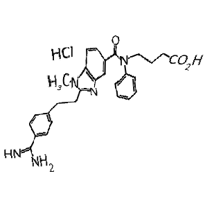 Cl.Cn1c(CCc2ccc(C(=N)N)cc2)nc2cc(C(=O)N(CCCC(=O)O)c3ccccc3)ccc21